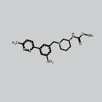 Cc1ccc(-c2cc(N)cc(CN3CCC[C@H](NC(=O)OC(C)(C)C)C3)c2)nn1